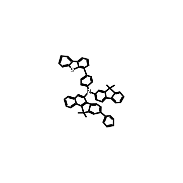 CC1(C)c2ccccc2-c2ccc(N(c3ccc(-c4cccc5c4sc4ccccc45)cc3)c3cc4ccccc4c4c3-c3ccc(-c5ccccc5)cc3C4(C)C)cc21